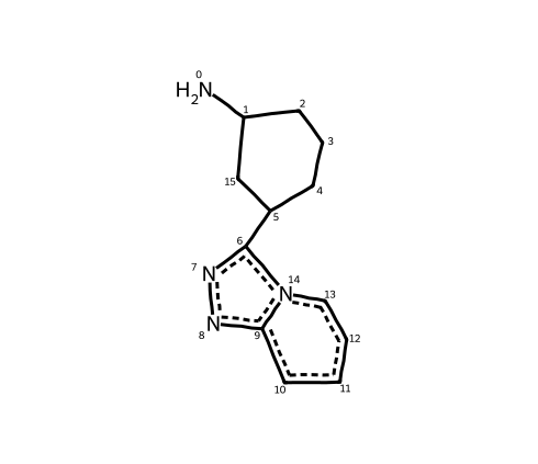 NC1CCCC(c2nnc3ccccn23)C1